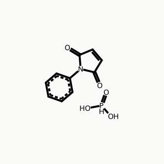 O=C1C=CC(=O)N1c1ccccc1.O=[PH](O)O